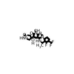 CC(Nc1ncnc2c1cc(C1(O)CCS(=N)(=O)CC1)c(=O)n2C)c1cccc(C(F)F)c1F